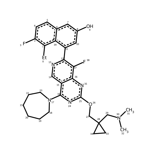 CCc1c(F)ccc2cc(O)cc(-c3ncc4c(N5CCCCCC5)nc(OCC5(CN(C)C)CC5)nc4c3F)c12